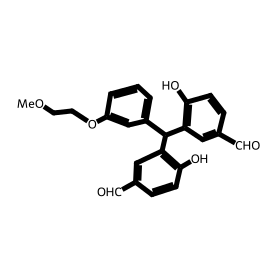 COCCOc1cccc(C(c2cc(C=O)ccc2O)c2cc(C=O)ccc2O)c1